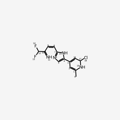 CC1=CC(c2cnc(/C=C\C(=N)C(F)F)[nH]2)=CC(Cl)N1